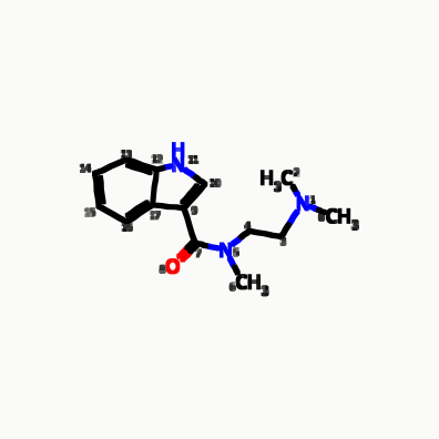 CN(C)CCN(C)C(=O)c1c[nH]c2ccccc12